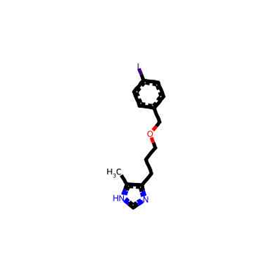 Cc1[nH]cnc1CCCOCc1ccc(I)cc1